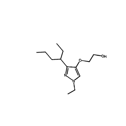 CCCC(CC)c1nn(CC)cc1OCCO